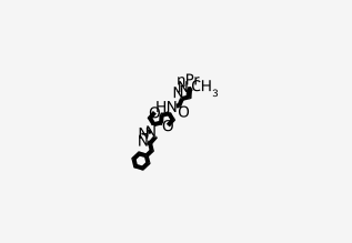 CCCn1nc(C(=O)NC2COC3C2OCC3N2CC(CC3CCCCC3)N=N2)cc1C